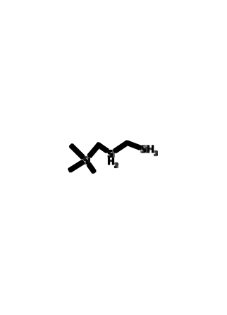 C[Si](C)(C)C[SiH2]C[SiH3]